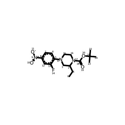 CCC1CN(c2ccc([N+](=O)[O-])cc2F)CCN1C(=O)OC(C)(C)C